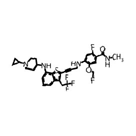 CNC(=O)c1cc(OCF)c(NCC#Cc2sc3c(NC4CCN(C5CC5)CC4)cccc3c2CC(F)(F)F)cc1F